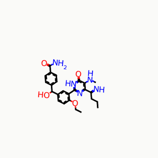 CCCC(=N)c1nc(-c2cc(C(O)c3ccc(C(N)=O)cc3)ccc2OCC)[nH]c(=O)c1NC